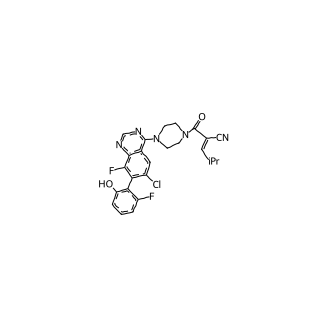 CC(C)C=C(C#N)C(=O)N1CCN(c2ncnc3c(F)c(-c4c(O)cccc4F)c(Cl)cc23)CC1